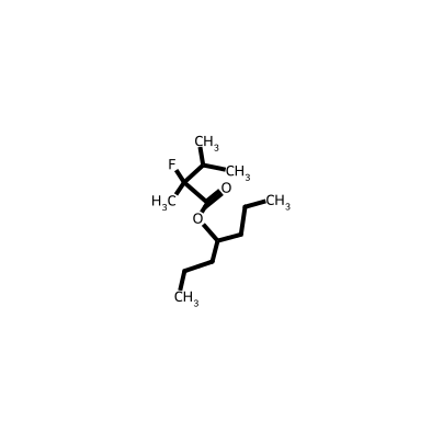 CCCC(CCC)OC(=O)C(C)(F)C(C)C